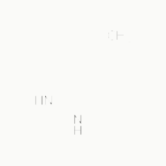 CC1[CH]NNC1